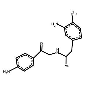 CC(=O)C(Cc1ccc(C)c(N)c1)NCC(=O)c1ccc(N)cc1